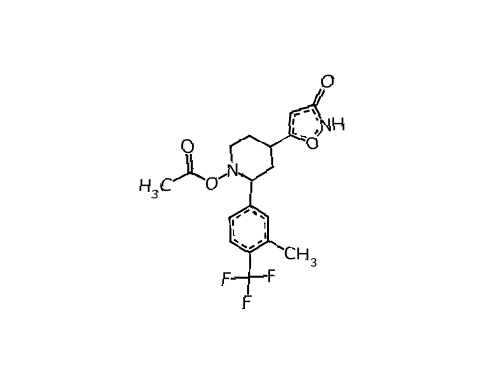 CC(=O)ON1CCC(c2cc(=O)[nH]o2)CC1c1ccc(C(F)(F)F)c(C)c1